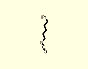 CC(C)CCCCCN=C=O